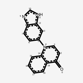 O=c1ccn(-c2ccc3nc[nH]c3c2)c2ccccc12